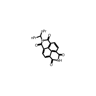 CCCC(CCC)N1C(=O)c2ccc3c4c(ccc(c24)C1=O)C(=O)NC3=O